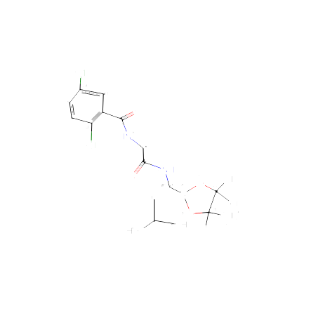 CC(C)C[C@H](NC(=O)CNC(=O)c1cc(Cl)ccc1Cl)B1OC(C)(C)C(C)(C)O1